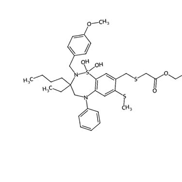 CCCCC1(CC)CN(c2ccccc2)c2cc(SC)c(CSCC(=O)OCC)cc2S(O)(O)N1Cc1ccc(OC)cc1